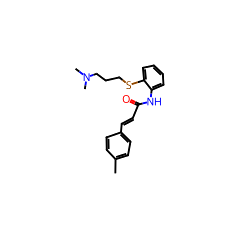 Cc1ccc(C=CC(=O)Nc2ccccc2SCCCN(C)C)cc1